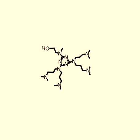 CN(C)CCCN(CCCN(C)C)c1nc(N(C)CCO)nc(N(CCCN(C)C)CCCN(C)C)n1